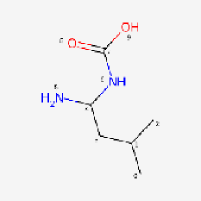 CC(C)CC(N)NC(=O)O